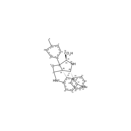 Cc1ccc(C23OC4Nc5ccc(C(C)(C)C)cc5[C@]42[C@@H](c2ccccc2)N[C@@H]3C(=O)O)cc1